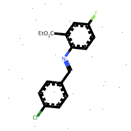 CCOC(=O)c1cc(F)ccc1/N=C/c1ccc(Cl)cc1